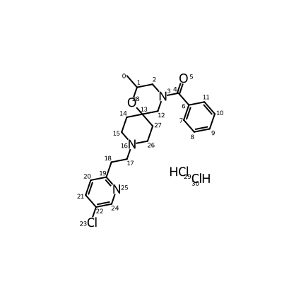 CC1CN(C(=O)c2ccccc2)CC2(CCN(CCc3ccc(Cl)cn3)CC2)O1.Cl.Cl